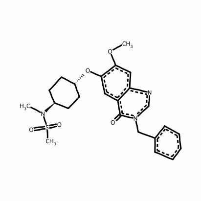 COc1cc2ncn(Cc3ccccc3)c(=O)c2cc1O[C@H]1CC[C@H](N(C)S(C)(=O)=O)CC1